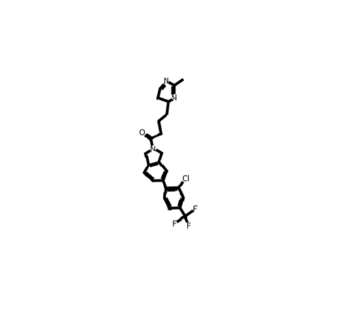 CC1=NC(CCCC(=O)N2Cc3ccc(-c4ccc(C(F)(F)F)cc4Cl)cc3C2)CC=N1